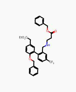 CCOC(=O)Cc1ccc(OCc2ccccc2)c(-c2ccc(C(F)(F)F)cc2CNCCC(=O)OCc2ccccc2)c1